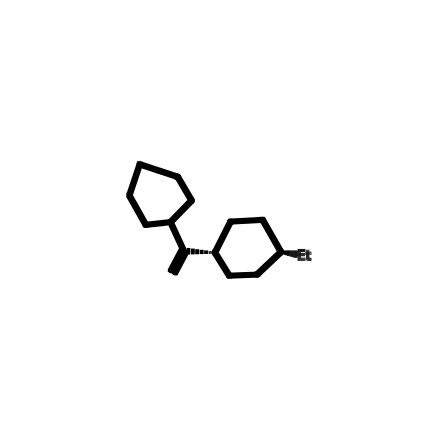 C=C(C1CCCCC1)[C@H]1CC[C@H](CC)CC1